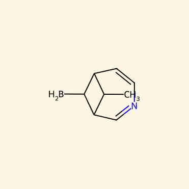 BC1C2C=CN=CC1C2C